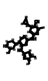 Cc1nc(Nc2ncc(N3CCNC(C)C3)c(Nc3cc(C)n(C)n3)n2)cc(C2CC2)c1C#N